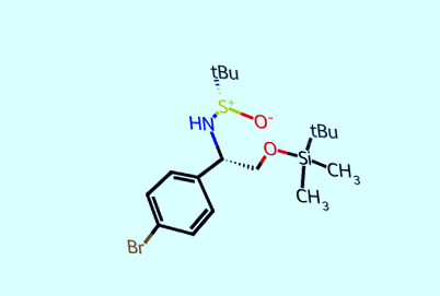 CC(C)(C)[S@+]([O-])N[C@H](CO[Si](C)(C)C(C)(C)C)c1ccc(Br)cc1